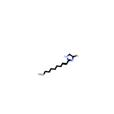 CCCCCCCCCCCCCCCC=CC1=NC(CC)CN1